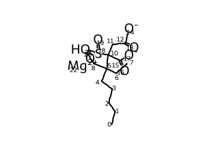 CCCCCC(CC)(CC)C(CC(=O)[O-])(C(=O)[O-])S(=O)(=O)O.[Mg+2]